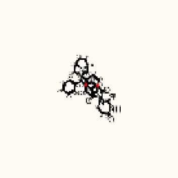 O=C1CCN(N2C(=O)c3ccc(CN4C5CCC4CN(C(c4ccccc4)c4ccccc4)C5)cc3C2=O)C(=O)N1